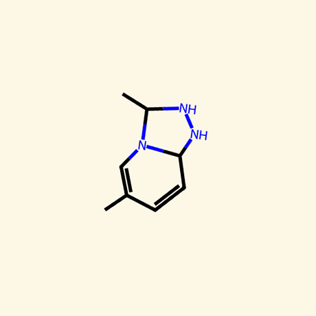 CC1=CN2C(C)NNC2C=C1